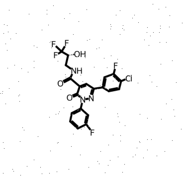 O=C(NC[C@@H](O)C(F)(F)F)c1cc(-c2ccc(Cl)c(F)c2)nn(-c2cccc(F)c2)c1=O